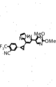 COc1ncc(-c2cc([C@H]3C[C@@H]3c3ccc(C(F)(F)F)c(C#N)c3)c3nccn3n2)c(OC)n1